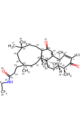 C[C@@H]1C(=O)C(C#N)=C[C@]2(C)C3=CC(=O)C4CCC(C)(C)CC[C@](C)(CCC(=O)NCC(F)(F)F)CC[C@@]4(C)[C@]3(C)CC[C@@H]12